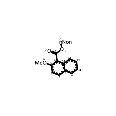 CCCCCCCCCOC(=O)c1c(OC)ccc2ccccc12